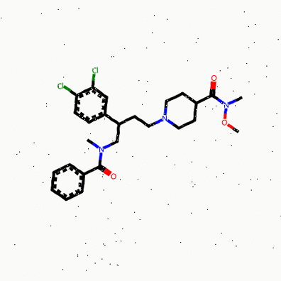 CON(C)C(=O)C1CCN(CCC(CN(C)C(=O)c2ccccc2)c2ccc(Cl)c(Cl)c2)CC1